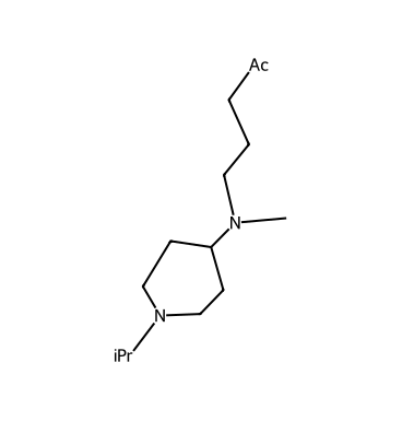 CC(=O)CCCN(C)C1CCN(C(C)C)CC1